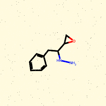 NNC(Cc1ccccc1)C1CO1